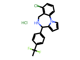 CC(F)(F)c1ccc(C2NCc3c(Cl)cccc3-n3cccc32)cc1.Cl